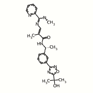 C=N/C(=N\C=C(/C)C(=O)N[C@H](C)c1cccc(-c2noc(C(C)(C)O)n2)c1)c1ccccn1